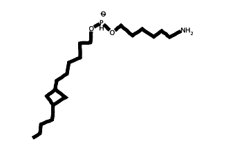 CCCCC1CC(CCCCCCO[PH](=O)OCCCCCCN)C1